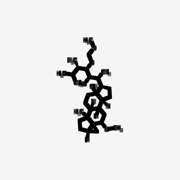 COCO[C@@H]([C@H](O)[C@@H](C)[C@H]1CC[C@H]2[C@@H]3C[C@@H](OC)[C@]45C[C@@H]4CC[C@]5(C)[C@H]3CC[C@]12C)[C@@H](C)C(C)C